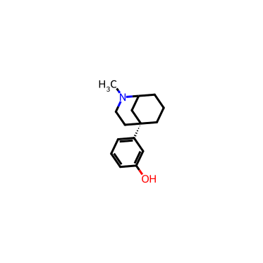 CN1CC[C@]2(c3cccc(O)c3)CCCC1C2